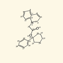 O=C(C[n+]1cccc2ccccc21)OC1(c2ccccc2)CCCCC1